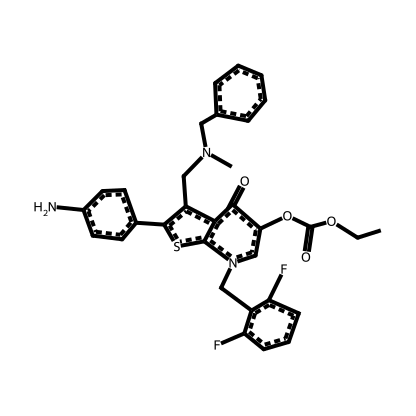 CCOC(=O)Oc1cn(Cc2c(F)cccc2F)c2sc(-c3ccc(N)cc3)c(CN(C)Cc3ccccc3)c2c1=O